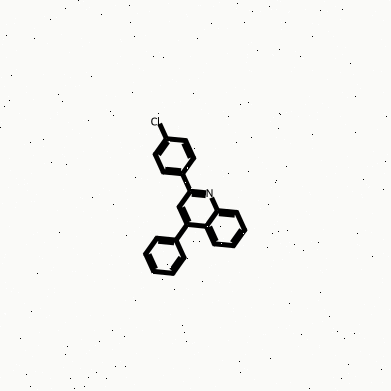 Clc1ccc(-c2cc(-c3ccccc3)c3ccccc3n2)cc1